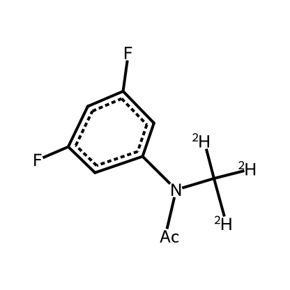 [2H]C([2H])([2H])N(C(C)=O)c1cc(F)cc(F)c1